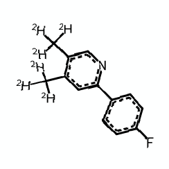 [2H]C([2H])([2H])c1cnc(-c2ccc(F)cc2)cc1C([2H])([2H])[2H]